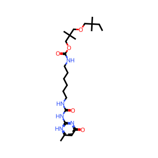 CCC(C)(C)COCC(C)(C)COC(=O)NCCCCCCNC(=O)Nc1nc(=O)cc(C)[nH]1